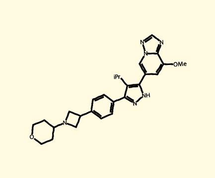 COc1cc(-c2[nH]nc(-c3ccc(C4CN(C5CCOCC5)C4)cc3)c2C(C)C)cn2ncnc12